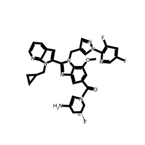 COc1cc(C(=O)N2C=C(N)C[C@@H](F)C2)cc2nc(-c3cc4cccnc4n3CC3CC3)n(Cc3cnn(-c4ncc(F)cc4F)c3)c12